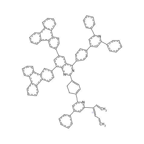 C=C/C=C(\C=C)c1cc(-c2ccccc2)cc(C2=CC=C(c3nc(-c4ccc(-c5cc(-c6ccccc6)nc(-c6ccccc6)c5)cc4)c4cc(-c5ccc6c7ccccc7c7ccccc7c6c5)cc(-c5ccc6c7ccccc7c7ccccc7c6c5)c4n3)CC2)n1